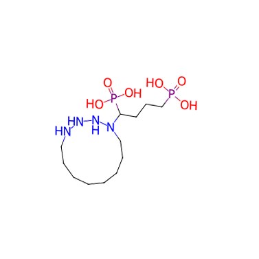 O=P(O)(O)CCCC(N1CCCCCCCCNNN1)P(=O)(O)O